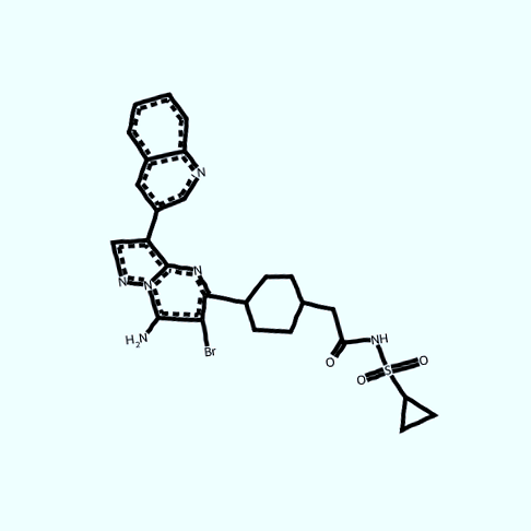 Nc1c(Br)c(C2CCC(CC(=O)NS(=O)(=O)C3CC3)CC2)nc2c(-c3cnc4ccccc4c3)cnn12